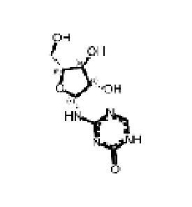 O=c1nc(N[C@@H]2O[C@H](CO)[C@@H](O)[C@@H]2O)nc[nH]1